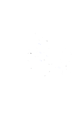 c1ccc(-n2c3ccccc3c3cccc(-c4nc(-c5cccc6ccccc56)nc(-c5cc(-n6c7ccccc7c7cc8ccccc8cc76)cc6ccccc56)n4)c32)cc1